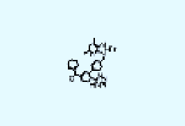 CCc1nc2c(C)cc(C)nc2n1Cc1ccc(-c2cc(C(=O)c3ccccc3)ccc2-c2nnn[nH]2)cc1